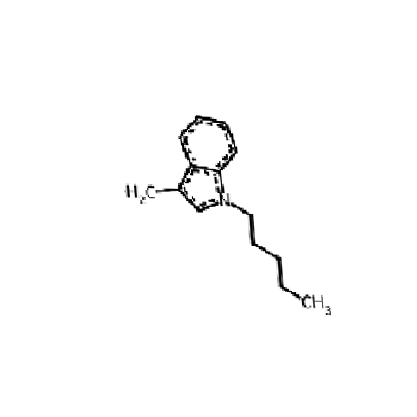 [CH2]c1cn(CCCCC)c2ccccc12